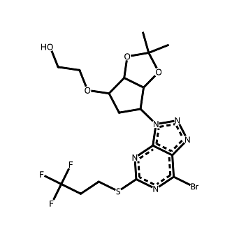 CC1(C)OC2C(OCCO)CC(n3nnc4c(Br)nc(SCCC(F)(F)F)nc43)C2O1